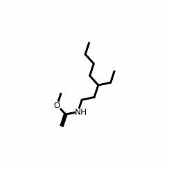 C=C(NCCC(CC)CCCC)OC